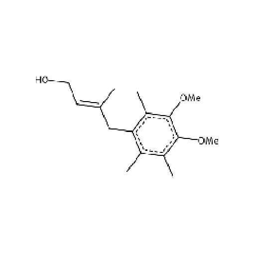 COc1c(C)c(C)c(C/C(C)=C/CO)c(C)c1OC